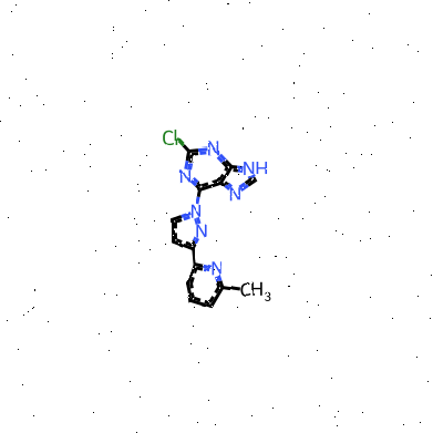 Cc1cccc(-c2ccn(-c3nc(Cl)nc4[nH]cnc34)n2)n1